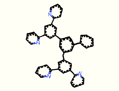 c1ccc(-c2cc(-c3cc(-c4ccccn4)cc(-c4ccccn4)c3)cc(-c3cc(-c4ccccn4)cc(-c4ccccn4)c3)c2)cc1